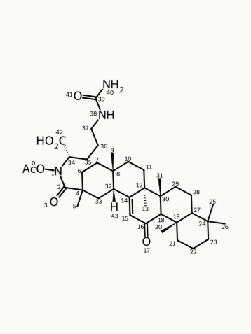 CC(=O)ON(C(=O)C1(C)CC[C@]2(C)CC[C@]3(C)C(=CC(=O)C4[C@@]5(C)CCCC(C)(C)C5CC[C@]43C)[C@@H]2C1)[C@@H](CCCNC(N)=O)C(=O)O